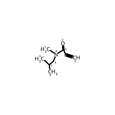 C#CC(=O)N(C)CC(C)C